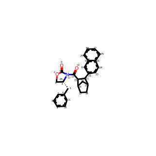 O=C1OC[C@@H](Cc2ccccc2)N1C(=O)C1C2CCC(C2)C1c1ccc2ccccc2c1